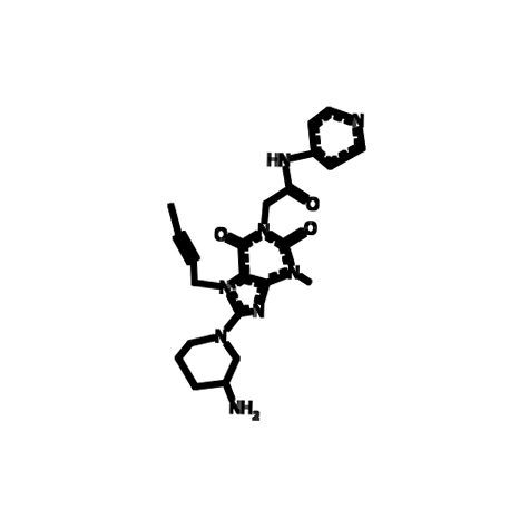 CC#CCn1c(N2CCCC(N)C2)nc2c1c(=O)n(CC(=O)Nc1ccncc1)c(=O)n2C